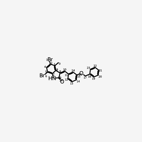 Cc1c(Br)cc(Br)c2c1C(=Cc1cccc(OCc3ccccc3)c1)C(=O)N2